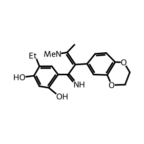 CCc1cc(C(=N)/C(=C(/C)NC)c2ccc3c(c2)OCCO3)c(O)cc1O